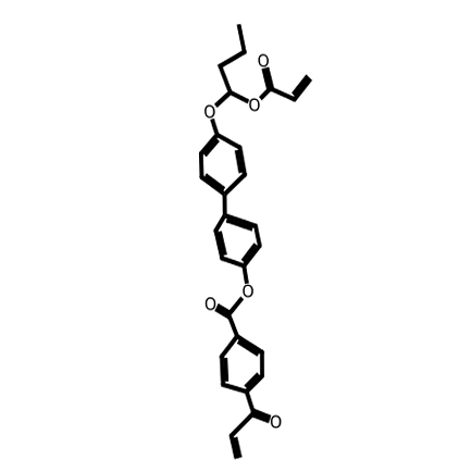 C=CC(=O)OC(CCC)Oc1ccc(-c2ccc(OC(=O)c3ccc(C(=O)C=C)cc3)cc2)cc1